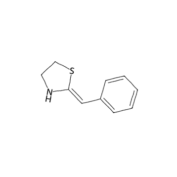 C(=C1\NCCS1)/c1ccccc1